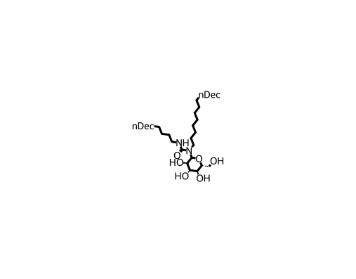 CCCCCCCCCCCCCCCCCCN(C(=O)NCCCCCCCCCCCCCC)C1O[C@H](CO)[C@@H](O)[C@H](O)[C@H]1O